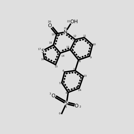 CS(=O)(=O)c1ccc(-c2cccc3c2c2ccsc2c(=O)n3O)cc1